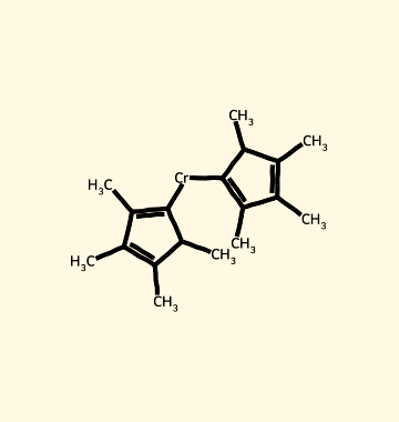 CC1=C(C)C(C)[C]([Cr][C]2=C(C)C(C)=C(C)C2C)=C1C